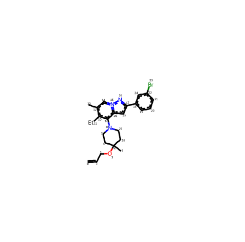 C=CCOC1(C)CCN(c2c(CC)c(C)cn3nc(-c4cccc(Br)c4)cc23)CC1